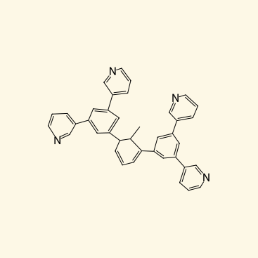 CC1C(c2cc(-c3cccnc3)cc(-c3cccnc3)c2)=CC=CC1c1cc(-c2cccnc2)cc(-c2cccnc2)c1